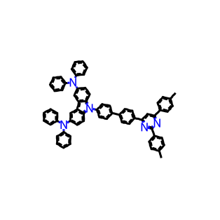 Cc1ccc(-c2cc(-c3ccc(-c4ccc(-n5c6ccc(N(c7ccccc7)c7ccccc7)cc6c6cc(N(c7ccccc7)c7ccccc7)ccc65)cc4)cc3)nc(-c3ccc(C)cc3)n2)cc1